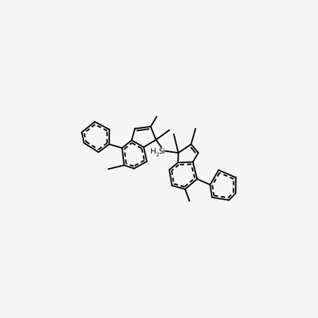 CC1=Cc2c(ccc(C)c2-c2ccccc2)C1(C)[SiH2]C1(C)C(C)=Cc2c1ccc(C)c2-c1ccccc1